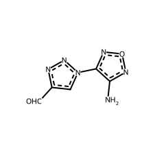 Nc1nonc1-n1cc(C=O)nn1